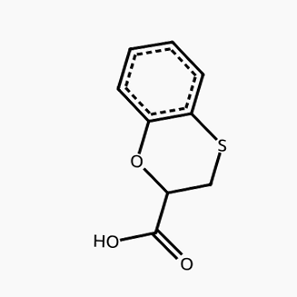 O=C(O)C1CSc2ccccc2O1